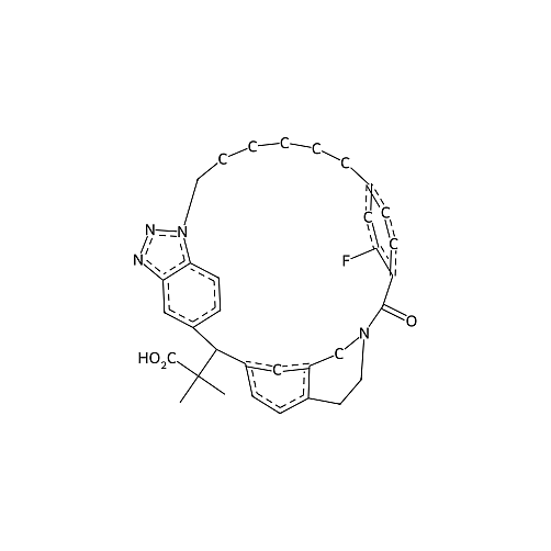 CC(C)(C(=O)O)C1c2ccc3c(c2)CN(CC3)C(=O)c2ccc(cc2F)CCCCCCn2nnc3cc1ccc32